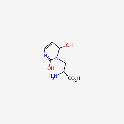 N[C@@H](CN1C(O)=NC=CC1O)C(=O)O